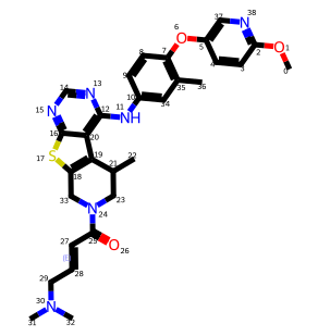 COc1ccc(Oc2ccc(Nc3ncnc4sc5c(c34)C(C)CN(C(=O)/C=C/CN(C)C)C5)cc2C)cn1